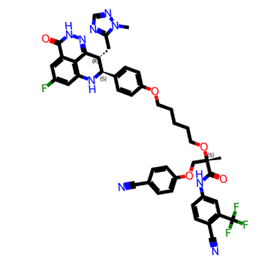 Cn1ncnc1C[C@H]1c2n[nH]c(=O)c3cc(F)cc(c23)N[C@@H]1c1ccc(OCCCCCO[C@@](C)(COc2ccc(C#N)cc2)C(=O)Nc2ccc(C#N)c(C(F)(F)F)c2)cc1